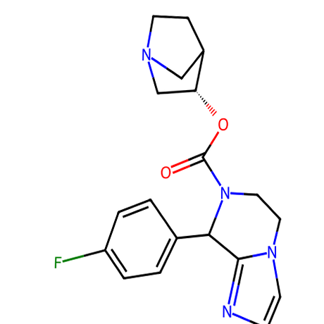 O=C(O[C@@H]1CN2CCC1C2)N1CCn2ccnc2C1c1ccc(F)cc1